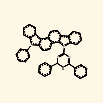 c1ccc(C2=NC(n3c4ccccc4c4ccc5c(ccc6c5c5ccccc5n6-c5ccccc5)c43)=NC(c3ccccc3)N2)cc1